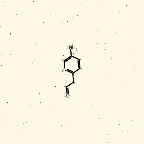 Nc1ccc(CC=O)nc1